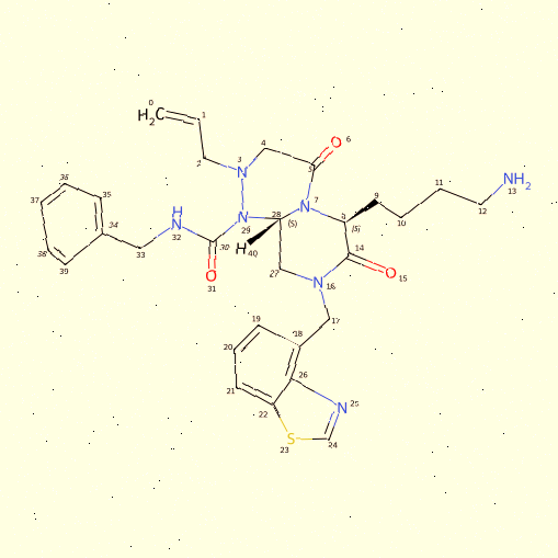 C=CCN1CC(=O)N2[C@@H](CCCCN)C(=O)N(Cc3cccc4scnc34)C[C@@H]2N1C(=O)NCc1ccccc1